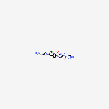 CC(Cc1ccc(-n2ccc(NC(=O)N3CCNCC3)nc2=O)cc1F)N1CC2C(CN)C2C1